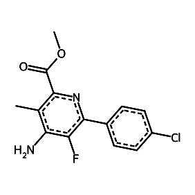 COC(=O)c1nc(-c2ccc(Cl)cc2)c(F)c(N)c1C